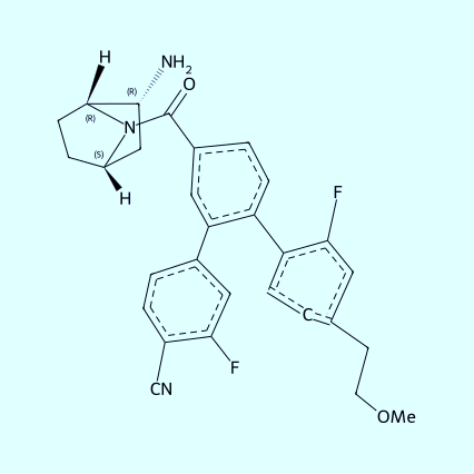 COCCc1ccc(-c2ccc(C(=O)N3[C@H]4CC[C@@H]3[C@H](N)C4)cc2-c2ccc(C#N)c(F)c2)c(F)c1